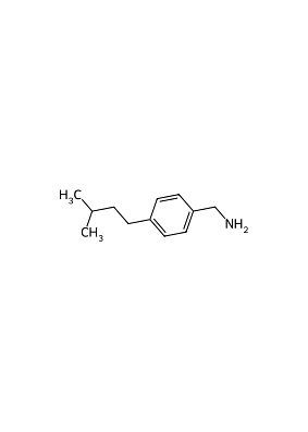 CC(C)CCc1ccc(CN)cc1